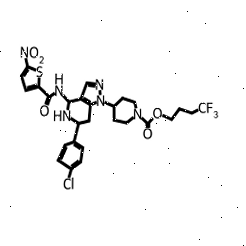 O=C(NC1NC(c2ccc(Cl)cc2)Cc2c1cnn2C1CCN(C(=O)OCCCC(F)(F)F)CC1)c1ccc([N+](=O)[O-])s1